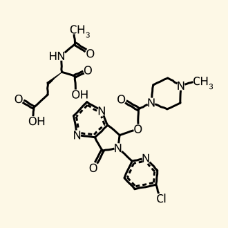 CC(=O)N[C@H](CCC(=O)O)C(=O)O.CN1CCN(C(=O)OC2c3nccnc3C(=O)N2c2ccc(Cl)cn2)CC1